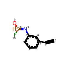 C#Cc1cccc(/N=[SH](=O)\F)c1